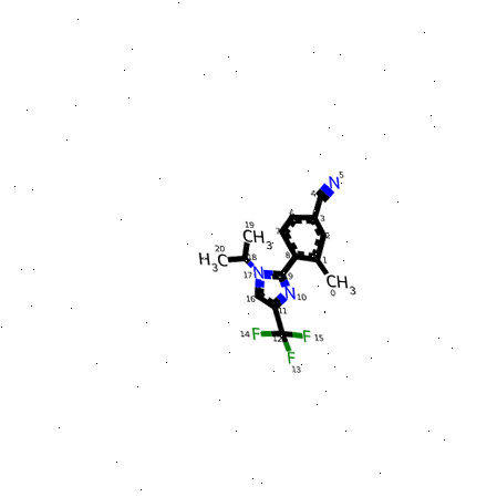 Cc1cc(C#N)ccc1-c1nc(C(F)(F)F)cn1C(C)C